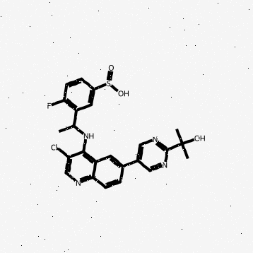 CC(Nc1c(Cl)cnc2ccc(-c3cnc(C(C)(C)O)nc3)cc12)c1cc(S(=O)O)ccc1F